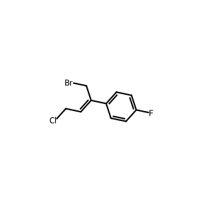 Fc1ccc(/C(=C/CCl)CBr)cc1